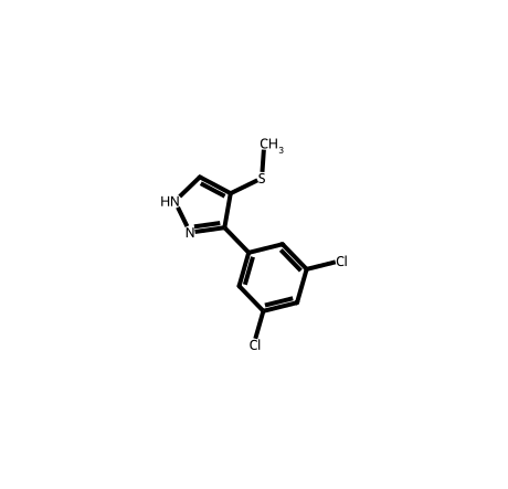 CSc1c[nH]nc1-c1cc(Cl)cc(Cl)c1